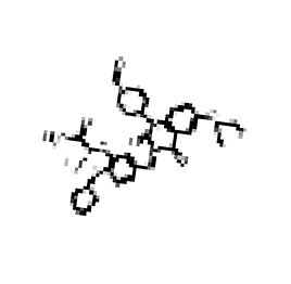 CC(=O)[C@@H](C)Oc1cc(Cn2c(=O)c3cc(OC(CF)CF)ccc3n(C3CCN(C=O)CC3)c2=O)ccc1OC1CCCC1